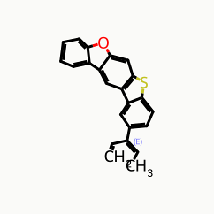 C=C/C(=C\C)c1ccc2sc3cc4oc5ccccc5c4cc3c2c1